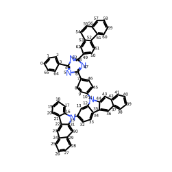 c1ccc(-c2nc(-c3ccc(-n4c5cc(-n6c7ccccc7c7cc8ccccc8cc76)ccc5c5cc6ccccc6cc54)cc3)nc(-c3ccc4c(ccc5ccccc54)c3)n2)cc1